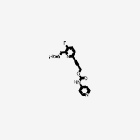 O=C(Nc1ccncc1)OCC#Cc1ccc(F)c(C=NO)n1